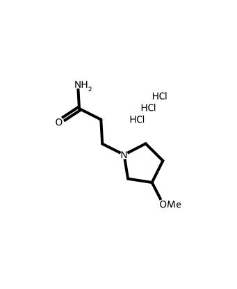 COC1CCN(CCC(N)=O)C1.Cl.Cl.Cl